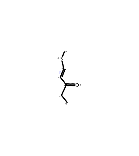 CCC(=O)/C=C/SC